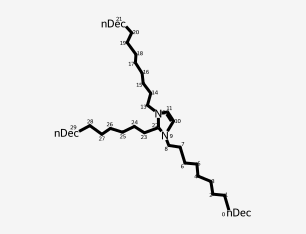 CCCCCCCCCCCCCCCCCCN1C=CN(CCCCCCCCCCCCCCCCCC)C1CCCCCCCCCCCCCCCC